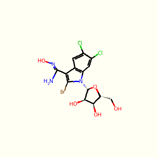 NC(=NO)c1c(Br)n([C@@H]2O[C@H](CO)[C@@H](O)[C@H]2O)c2cc(Cl)c(Cl)cc12